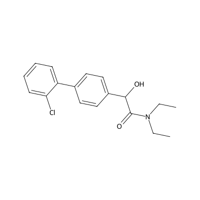 CCN(CC)C(=O)C(O)c1ccc(-c2ccccc2Cl)cc1